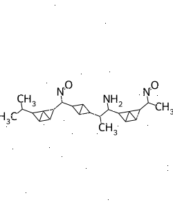 CC(C)C1C2C3C(C(N=O)C4C5C(C(C)C(N)C6C7C8C(C(C)N=O)C687)C45)C123